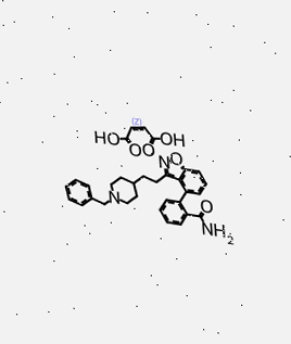 NC(=O)c1ccccc1-c1cccc2onc(CCC3CCN(Cc4ccccc4)CC3)c12.O=C(O)/C=C\C(=O)O